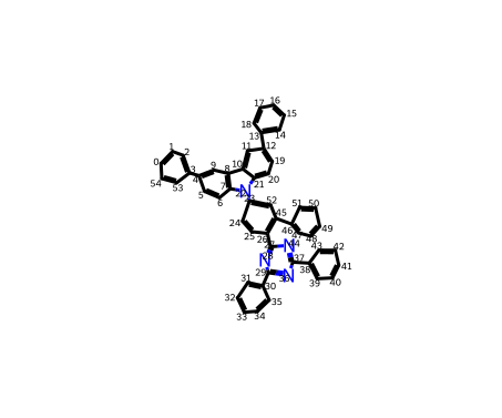 c1ccc(-c2ccc3c(c2)c2cc(-c4ccccc4)ccc2n3-c2ccc(-c3nc(-c4ccccc4)nc(-c4ccccc4)n3)c(-c3ccccc3)c2)cc1